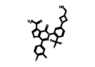 BC(=O)c1csc2c(-c3ccc(F)c(C)c3)nn(-c3cc(N4CC(CO)C4)ccc3C(F)(F)F)c(=O)c12